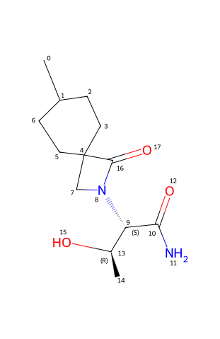 CC1CCC2(CC1)CN([C@H](C(N)=O)[C@@H](C)O)C2=O